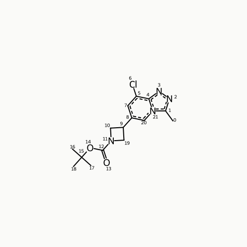 Cc1nnc2c(Cl)cc(C3CN(C(=O)OC(C)(C)C)C3)cn12